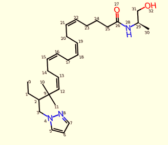 CCC(Cn1cccn1)C(C)(C)/C=C\C/C=C\C/C=C\C/C=C\CCCC(=O)N[C@H](C)CO